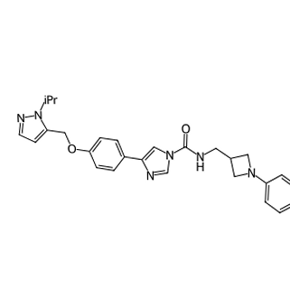 CC(C)n1nccc1COc1ccc(-c2cn(C(=O)NCC3CN(c4ccccc4)C3)cn2)cc1